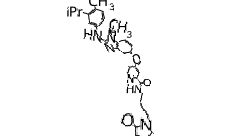 Cc1ccc(Nc2nc3cc(Oc4ccnc(C(=O)NCCCN5CCCC5=O)c4)ccc3n2C)cc1C(C)C